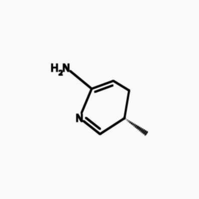 C[C@@H]1C=NC(N)=CC1